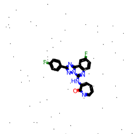 O=c1nccccc1Nc1nc2ccc(F)cc2c2nc(-c3ccc(F)cc3)nn12